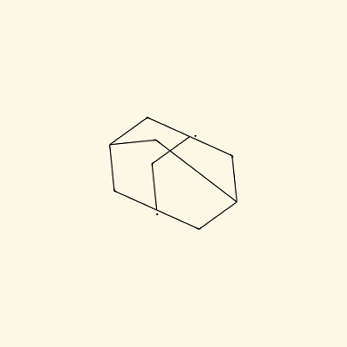 C1[C]2CC3C[C]1CC(C2)C3